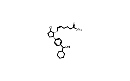 COC(=O)CCC/C=C\C[C@H]1[C@H](Cl)CC[C@@H]1c1ccc(C(O)C2CCCCC2)cc1